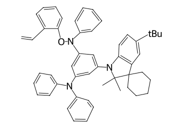 C=Cc1ccccc1ON(c1ccccc1)c1cc(N(c2ccccc2)c2ccccc2)cc(N2c3ccc(C(C)(C)C)cc3C3(CCCCC3)C2(C)C)c1